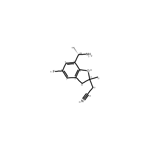 C[C@H](N)c1cc(F)cc2c1OC(C)(CC#N)C2